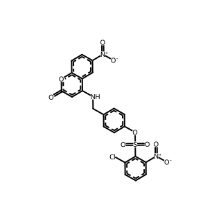 O=c1cc(NCc2ccc(OS(=O)(=O)c3c(Cl)cccc3[N+](=O)[O-])cc2)c2cc([N+](=O)[O-])ccc2o1